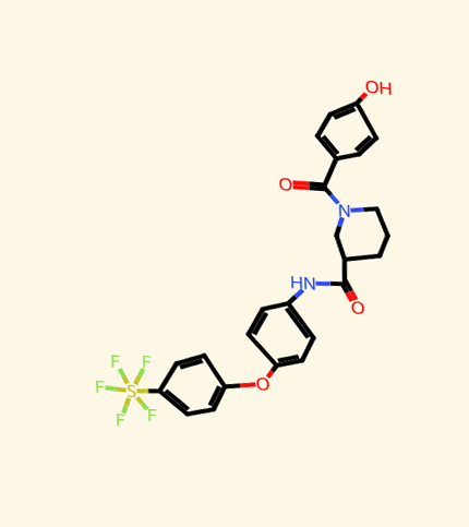 O=C(Nc1ccc(Oc2ccc(S(F)(F)(F)(F)F)cc2)cc1)C1CCCN(C(=O)c2ccc(O)cc2)C1